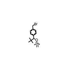 C[SiH](C)OC(c1ccc(CBr)cc1)C(C)(C)C